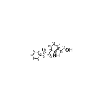 O=C(Cc1ccccc1)c1c[nH]c2c(CCO)cccc12